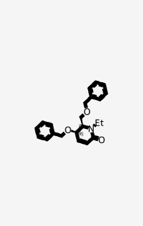 CCN1C(=O)C=C[C@@H](OCc2ccccc2)[C@H]1COCc1ccccc1